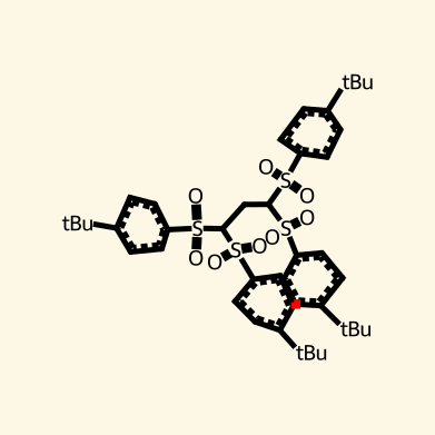 CC(C)(C)c1ccc(S(=O)(=O)C(CC(S(=O)(=O)c2ccc(C(C)(C)C)cc2)S(=O)(=O)c2ccc(C(C)(C)C)cc2)S(=O)(=O)c2ccc(C(C)(C)C)cc2)cc1